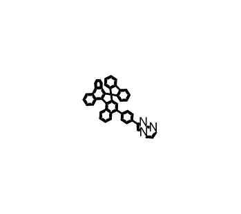 c1ccc2c(c1)-c1ccccc1C21c2cc(-c3ccc(-c4cn5cccnc5n4)cc3)c3ccccc3c2-c2c1c1ccccc1c1ccccc21